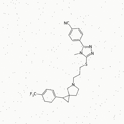 Cn1c(SCCCN2CCC3(CC3C3=CC=C(C(F)(F)F)CC3)C2)nnc1-c1ccc(C#N)cc1